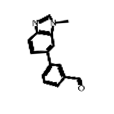 Cn1cnc2ccc(-c3cccc(C=O)c3)cc21